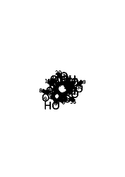 C=C1[C@@H](O)C[C@H](OC(C)=O)[C@@]2(C)[C@@H](OC(C)=O)[C@H](OC(C)=O)[C@@]3(O)C(C)=C(OC(C)=O)C[C@@H]([C@@H](OC(C)=O)[C@H]12)C3(C)C